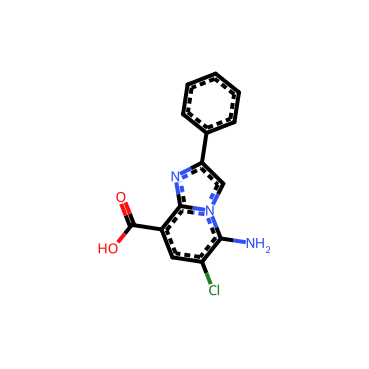 Nc1c(Cl)cc(C(=O)O)c2nc(-c3ccccc3)cn12